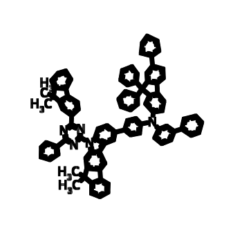 CC1(C)c2ccccc2-c2ccc(-c3nc(-c4ccccc4)nc(-n4c5ccc(-c6ccc(N(c7cccc(-c8ccccc8)c7)c7ccc8c(c7)C(c7ccccc7)(c7ccccc7)c7cc(-c9ccccc9)ccc7-8)cc6)cc5c5cc6c(cc54)C(C)(C)c4ccccc4-6)n3)cc21